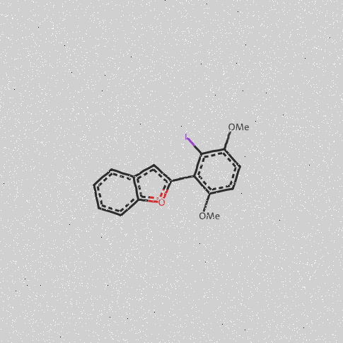 COc1ccc(OC)c(-c2cc3ccccc3o2)c1I